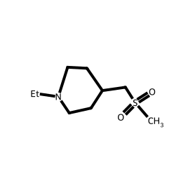 CCN1CCC(CS(C)(=O)=O)CC1